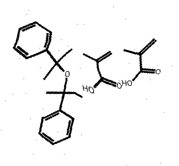 C=C(C)C(=O)O.C=C(C)C(=O)O.CC(C)(OC(C)(C)c1ccccc1)c1ccccc1